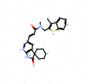 Cc1c(CN(C)C(=O)C=Cc2cnc3c(c2)C2(CCCCC2)C(=O)N3)sc2ccccc12